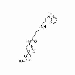 CN(CCCNCCCCCC(=O)Nc1ccn(C2CSC(CO)O2)c(=O)n1)c1ccccc1